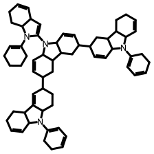 C1=CCCC(N2C3CCC(C4C=CC5C(C4)C4CC(C6C=CC7C(C6)C6CCC=CC6N7C6=CC=CCC6)C=CC4N5C4=CC5C=CCCC5N4C4=CCCCC4)C=C3C3CCC=CC32)=C1